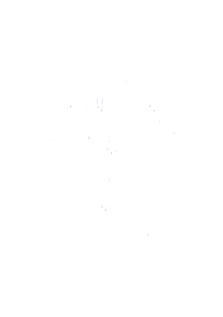 CN(CCO)CCO/N=C1/C(=C2/C(=O)Nc3ccc(Br)cc32)Nc2ccccc21